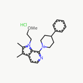 COCCn1c(C)c(C)c2ccnc(N3CCC(c4ccccc4)CC3)c21.Cl